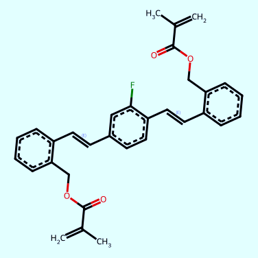 C=C(C)C(=O)OCc1ccccc1/C=C/c1ccc(/C=C/c2ccccc2COC(=O)C(=C)C)c(F)c1